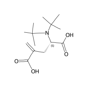 C=C(C[C@@H](C(=O)O)N(C(C)(C)C)C(C)(C)C)C(=O)O